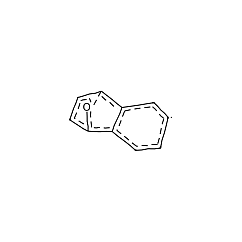 [c]1ccc2c3ccc(o3)c2c1